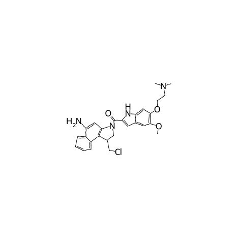 COc1cc2cc(C(=O)N3CC(CCl)c4c3cc(N)c3ccccc43)[nH]c2cc1OCCN(C)C